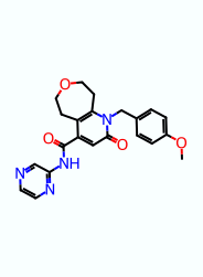 COc1ccc(Cn2c3c(c(C(=O)Nc4cnccn4)cc2=O)CCOCC3)cc1